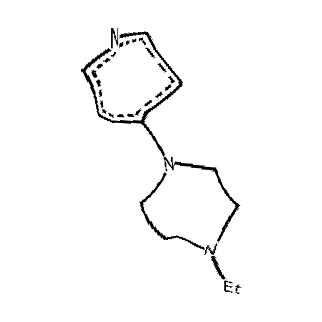 CCN1CCN(c2ccncc2)CC1